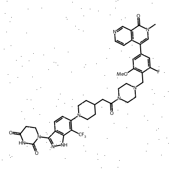 COc1cc(-c2cn(C)c(=O)c3cnccc23)cc(F)c1CN1CCN(C(=O)CC2CCN(c3ccc4c(N5CCC(=O)NC5=O)n[nH]c4c3C(F)(F)F)CC2)CC1